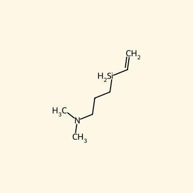 C=C[SiH2]CCCN(C)C